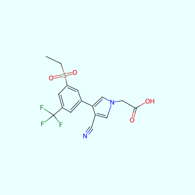 CCS(=O)(=O)c1cc(-c2cn(CC(=O)O)cc2C#N)cc(C(F)(F)F)c1